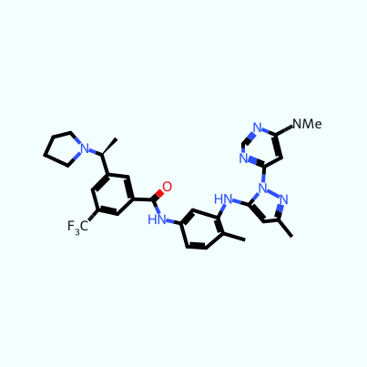 CNc1cc(-n2nc(C)cc2Nc2cc(NC(=O)c3cc([C@H](C)N4CCCC4)cc(C(F)(F)F)c3)ccc2C)ncn1